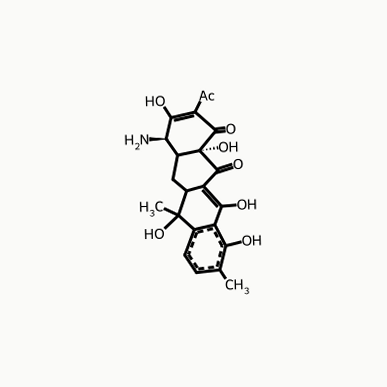 CC(=O)C1=C(O)[C@H](N)C2CC3C(=C(O)c4c(ccc(C)c4O)C3(C)O)C(=O)[C@]2(O)C1=O